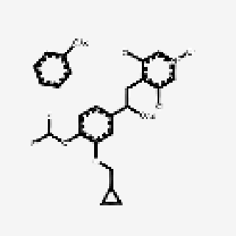 CC(=O)OC(Cc1c(Cl)c[n+]([O-])cc1Cl)c1ccc(OC(F)F)c(OCC2CC2)c1.CC(=O)Oc1ccccc1